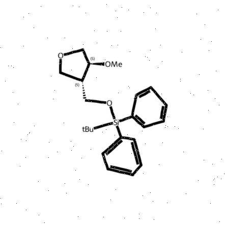 CO[C@@H]1COC[C@H]1CO[Si](c1ccccc1)(c1ccccc1)C(C)(C)C